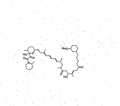 COC1CCCC(CCCCC(=O)[C@H](C)/C=C(\C)C(O)CC(=O)C(C)C[C@H](C)/C=C/C=C/C=C(\C)CC[C@@H]2CCC(C)C(O)(C(=O)C(=O)N3CCCCC3C)O2)C1